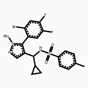 Cc1ccc(S(=O)(=O)NC(c2cnn(C(C)(C)C)c2-c2cc(F)c(F)cc2Br)C2CC2)cc1